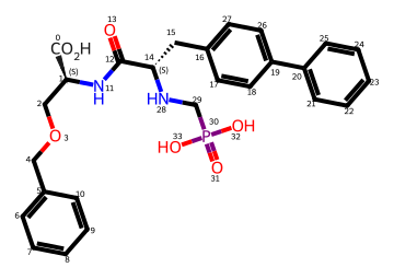 O=C(O)[C@H](COCc1ccccc1)NC(=O)[C@H](Cc1ccc(-c2ccccc2)cc1)NCP(=O)(O)O